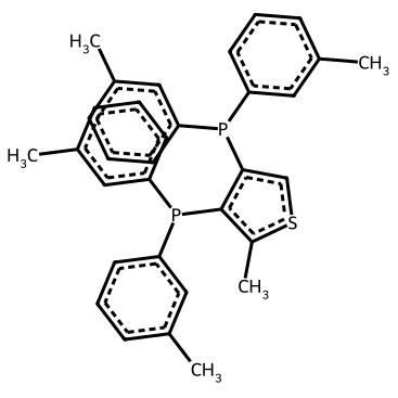 Cc1cccc(P(c2cccc(C)c2)c2csc(C)c2P(c2cccc(C)c2)c2cccc(C)c2)c1